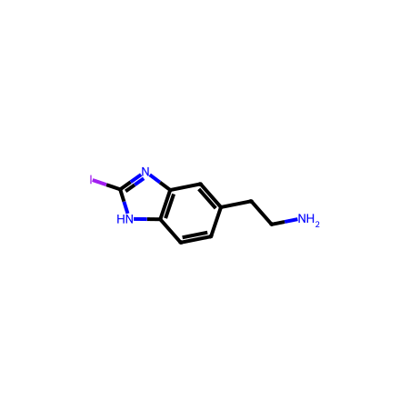 NCCc1ccc2[nH]c(I)nc2c1